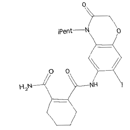 CCCC(C)N1C(=O)COc2cc(I)c(NC(=O)C3=C(C(N)=O)CCCC3)cc21